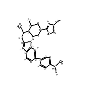 CC(C)c1noc(N2CCC(C(C)Oc3nc4ccc(-c5ccc(S(=O)O)cc5)nc4s3)C(F)C2)n1